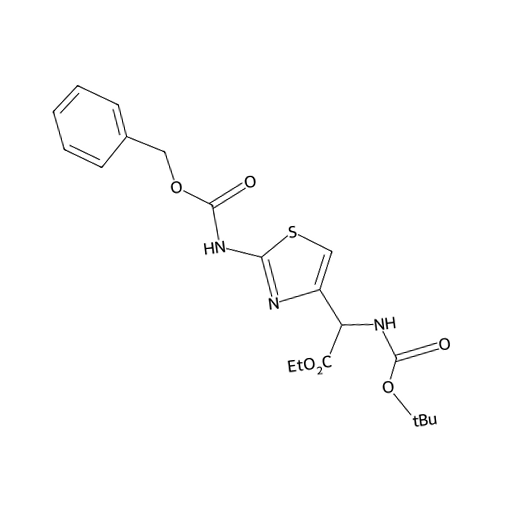 CCOC(=O)C(NC(=O)OC(C)(C)C)c1csc(NC(=O)OCc2ccccc2)n1